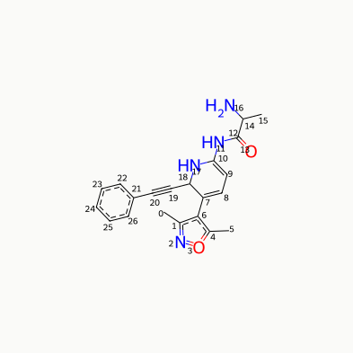 Cc1noc(C)c1C1=CC=C(NC(=O)C(C)N)NC1C#Cc1ccccc1